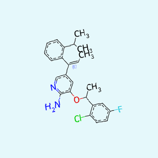 C/C=C(/c1cnc(N)c(OC(C)c2cc(F)ccc2Cl)c1)c1ccccc1C(C)C